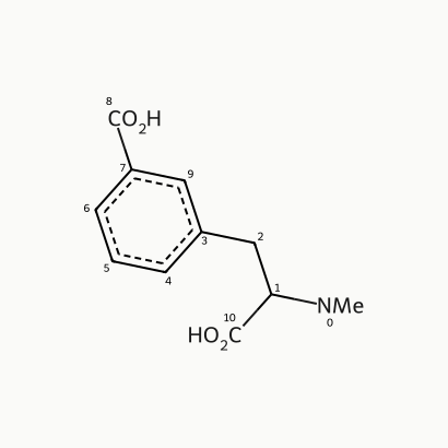 CNC(Cc1cccc(C(=O)O)c1)C(=O)O